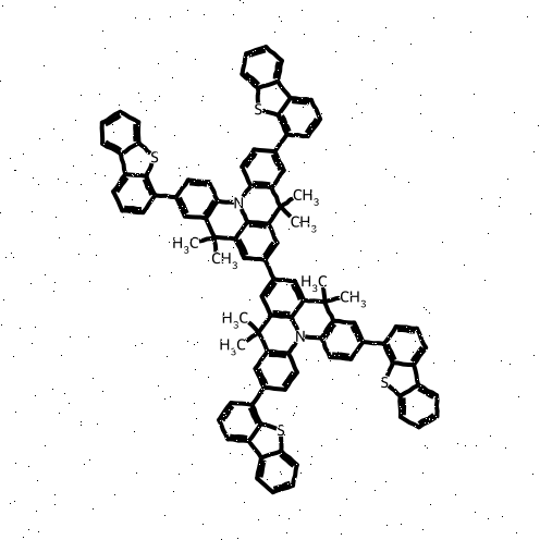 CC1(C)c2cc(-c3cccc4c3sc3ccccc34)ccc2N2c3ccc(-c4cccc5c4sc4ccccc45)cc3C(C)(C)c3cc(-c4cc5c6c(c4)C(C)(C)c4cc(-c7cccc8c7sc7ccccc78)ccc4N6c4ccc(-c6cccc7c6sc6ccccc67)cc4C5(C)C)cc1c32